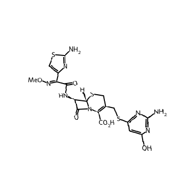 CON=C(C(=O)N[C@@H]1C(=O)N2C(C(=O)O)=C(CSc3cc(O)nc(N)n3)CS[C@@H]12)c1csc(N)n1